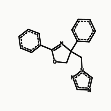 c1ccc(C2=NC(Cn3cncn3)(c3ccccc3)CO2)cc1